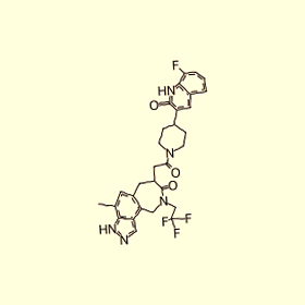 Cc1cc2c(c3cn[nH]c13)CN(CC(F)(F)F)C(=O)C(CC(=O)N1CCC(c3cc4cccc(F)c4[nH]c3=O)CC1)C2